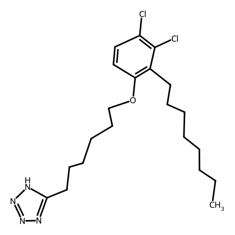 CCCCCCCCc1c(OCCCCCCc2nnn[nH]2)ccc(Cl)c1Cl